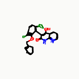 O=c1[nH]c2ncccc2c(O)c1-c1c(Cl)ccc(Cl)c1OCc1ccccc1